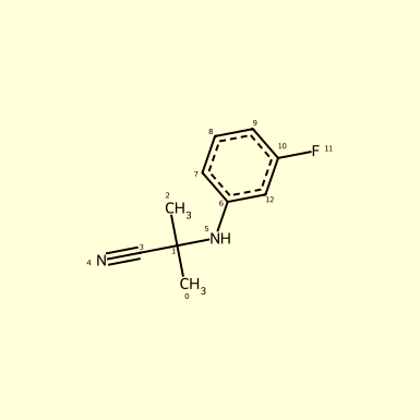 CC(C)(C#N)Nc1cccc(F)c1